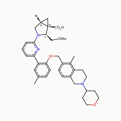 COC[C@H]1N(c2cccc(-c3cc(C)ccc3OCc3ccc4c(c3C)CCN(C3CCOCC3)C4)n2)C[C@@H]2C[C@@]21C(=O)O